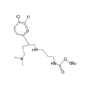 CN(C)CCC(CNCCCNC(=O)OC(C)(C)C)c1ccc(Cl)c(Cl)c1